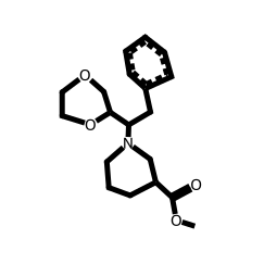 COC(=O)C1CCCN(C(Cc2ccccc2)C2COCCO2)C1